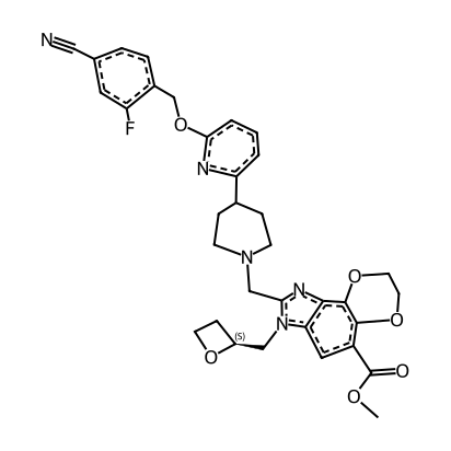 COC(=O)c1cc2c(nc(CN3CCC(c4cccc(OCc5ccc(C#N)cc5F)n4)CC3)n2C[C@@H]2CCO2)c2c1OCCO2